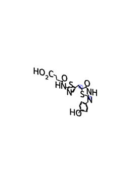 O=C(O)CCC(=O)Nc1ncc(/C=C2\S/C(=N\c3ccc(O)cc3)NC2=O)s1